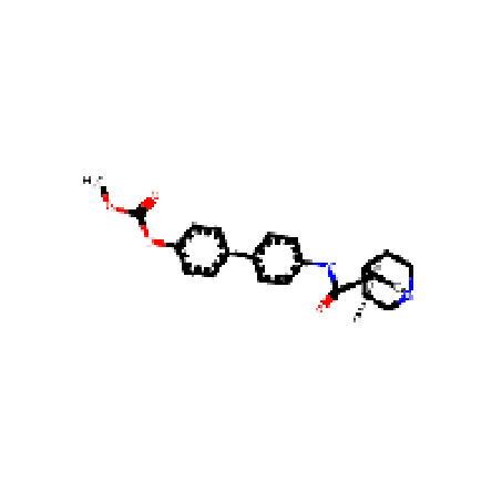 COC(=O)Oc1ccc(-c2ccc(NC(=O)[C@@H]3CN4CCC3CC4)cc2)cc1